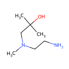 CN(CCN)CC(C)(C)O